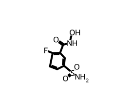 NS(=O)(=O)c1ccc(F)c(C(=O)NO)c1